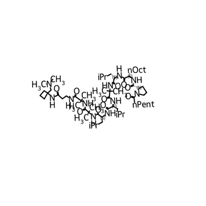 CCCCCCCC[C@H](NC(=O)[C@@H]1CCCN1C(=O)CCCCC)C(=O)N[C@@H](CC(C)C)C(=O)NC(C)(C)C(=O)N[C@@H](CC(C)C)C(=O)N[C@@H](CC(C)C)C(=O)NC(C)(C)C(=O)NC(C)(C)C(=O)NCCC(=O)NC1(CN(C)C)CCC1